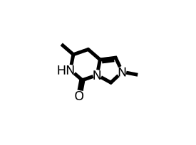 CC1CC2=CN(C)CN2C(=O)N1